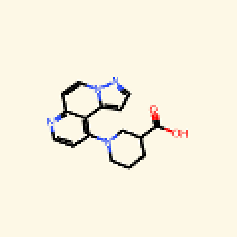 O=C(O)C1CCCN(c2ccnc3ccn4nccc4c23)C1